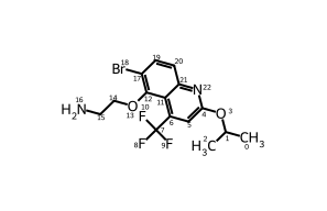 CC(C)Oc1cc(C(F)(F)F)c2c(OCCN)c(Br)ccc2n1